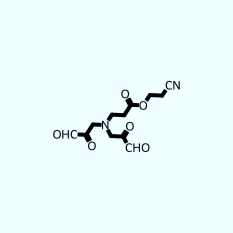 N#CCCOC(=O)CCN(CC(=O)C=O)CC(=O)C=O